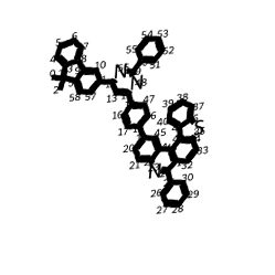 CC1(C)c2ccccc2-c2cc(-c3cc(-c4ccc(-c5ccc6nc(-c7ccccc7)c7ccc8sc9ccccc9c8c7c6c5)cc4)nc(-c4ccccc4)n3)ccc21